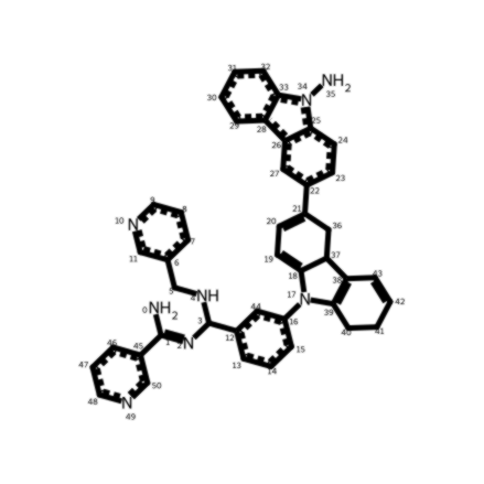 N/C(=N\C(NCc1cccnc1)c1cccc(N2C3=CC=C(c4ccc5c(c4)c4ccccc4n5N)CC3C3=C2CCC=C3)c1)c1cccnc1